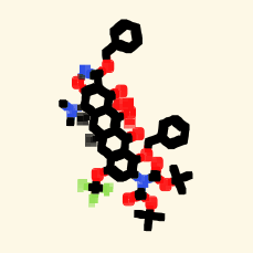 CN(C)[C@@H]1c2onc(OCc3ccccc3)c2C(=O)[C@@]2(O)C(O)=C3C(=O)c4c(c(OC(F)(F)F)cc(N(C(=O)OC(C)(C)C)C(=O)OC(C)(C)C)c4OCc4ccccc4)C[C@H]3C[C@@H]12